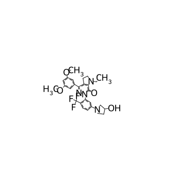 CCN1CCc2c(-c3cc(OC)cc(OC)c3)nn(-c3cc(N4CCC(O)C4)ccc3C(F)(F)F)c(=O)c21